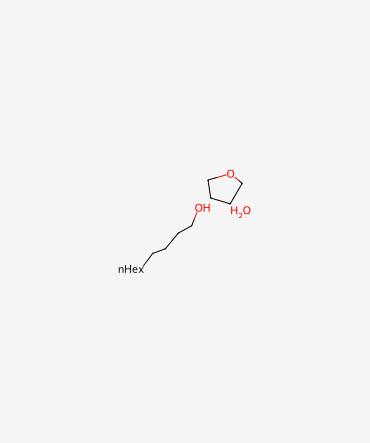 C1CCOC1.CCCCCCCCCCO.O